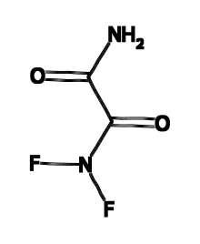 NC(=O)C(=O)N(F)F